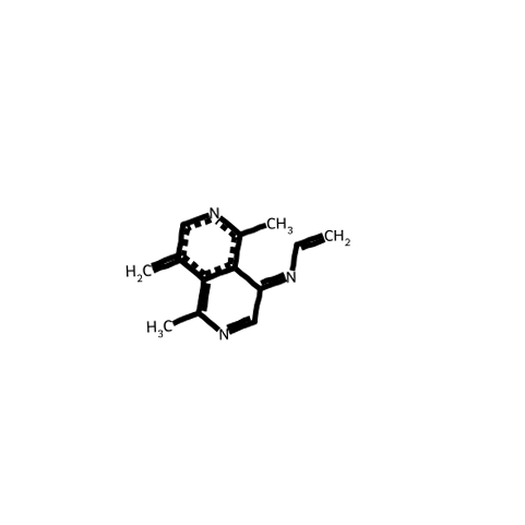 C=C/N=C1/C=NC(C)=c2c1c(C)ncc2=C